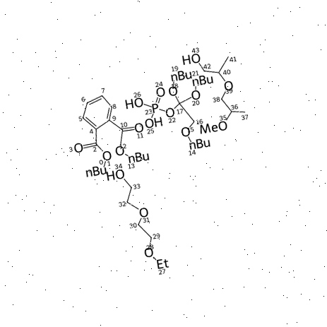 CCCCOC(=O)c1ccccc1C(=O)OCCCC.CCCCOCC(OCCCC)(OCCCC)OP(=O)(O)O.CCOCCOCCO.COC(C)COC(C)CO